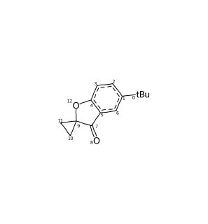 CC(C)(C)c1ccc2c(c1)C(=O)C1(CC1)O2